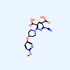 COc1ccc(OC2CCN(c3nc(C#N)c(C(=O)O)cc3C(=O)O)CC2)cn1